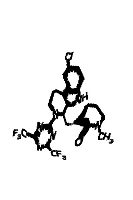 CN1CCC[C@@H](C[C@@H]2c3[nH]c4ccc(Cl)cc4c3CCN2c2nc(C(F)(F)F)nc(C(F)(F)F)n2)C1=O